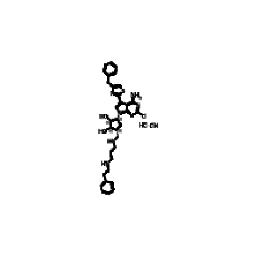 Cl.Cl.Nc1nc(Cl)nc2c1c(-c1nc(Cc3ccccc3)cs1)cn2[C@@H]1C[C@H](CNCCCNCCc2ccccc2)[C@@H](O)[C@H]1O